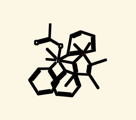 CC(=O)[O][Ti]([CH3])([CH3])([C]1=C(C)C(C)=C(C)C1(C)C)([c]1ccccc1)([c]1ccccc1)[c]1ccccc1